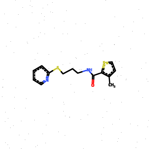 Cc1ccsc1C(=O)NCCCSc1ccccn1